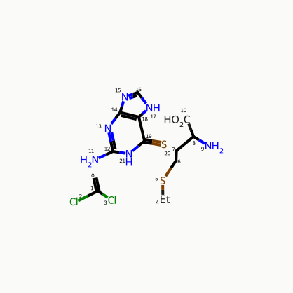 C=C(Cl)Cl.CCSCCC(N)C(=O)O.Nc1nc2nc[nH]c2c(=S)[nH]1